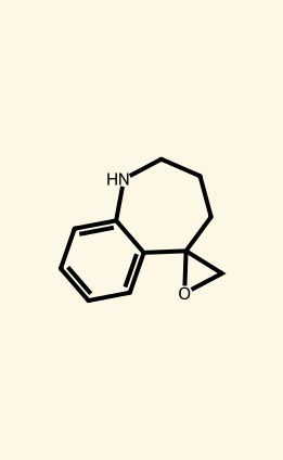 c1ccc2c(c1)NCCCC21CO1